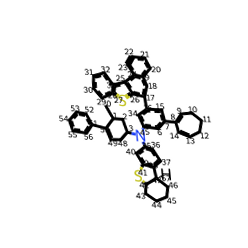 CC1CC(N(c2cc(C3=CCCCC=C3)cc(-c3cc4ccc#cc4c4c3sc3ccccc34)c2)c2ccc3c(c2)SC2CCCC[C@H]32)CC=C1c1ccccc1